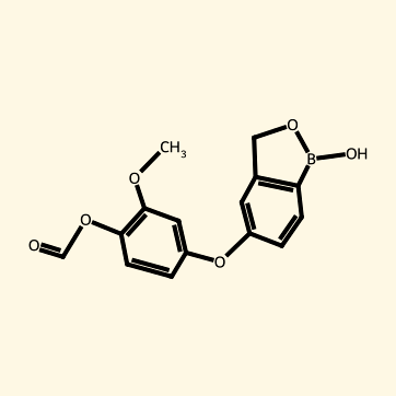 COc1cc(Oc2ccc3c(c2)COB3O)ccc1OC=O